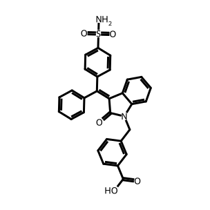 NS(=O)(=O)c1ccc(/C(=C2/C(=O)N(Cc3cccc(C(=O)O)c3)c3ccccc32)c2ccccc2)cc1